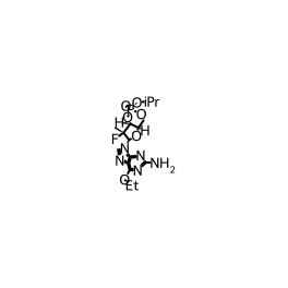 CCOc1nc(N)nc2c1ncn2[C@@H]1O[C@@H]2CO[P@@](=O)(OC(C)C)O[C@H]2[C@@]1(C)F